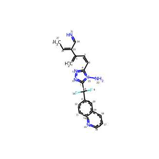 C=C(/C=C\c1nnc(C(F)(F)c2ccc3ncccc3c2)n1N)/C(C=N)=C/C